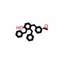 C1CO1.Oc1ccc(Cc2ccccc2)c(Cc2ccccc2)c1Cc1ccccc1